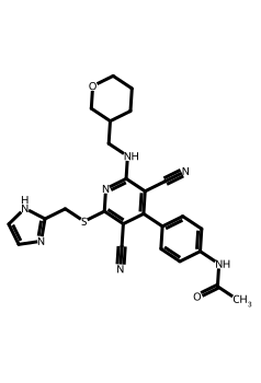 CC(=O)Nc1ccc(-c2c(C#N)c(NCC3CCCOC3)nc(SCc3ncc[nH]3)c2C#N)cc1